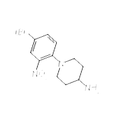 CC(C)(C)c1ccc(N2CCC(N)CC2)c([N+](=O)[O-])c1